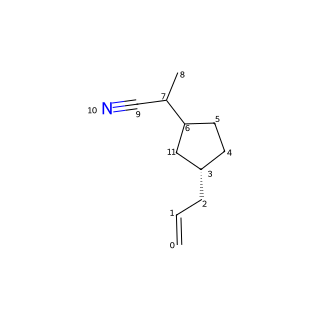 C=CC[C@H]1CCC(C(C)C#N)C1